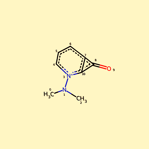 CN(C)[n+]1cccc2c(=O)c21